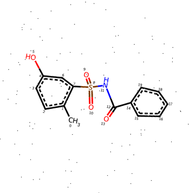 Cc1ccc(O)cc1S(=O)(=O)NC(=O)c1ccccc1